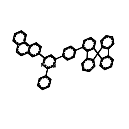 c1ccc(-c2nc(-c3ccc(-c4cccc5c4-c4ccccc4C54c5ccccc5-c5ccccc54)cc3)cc(-c3ccc4c(ccc5ccccc54)c3)n2)cc1